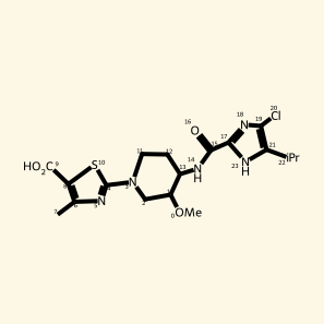 COC1CN(c2nc(C)c(C(=O)O)s2)CCC1NC(=O)c1nc(Cl)c(C(C)C)[nH]1